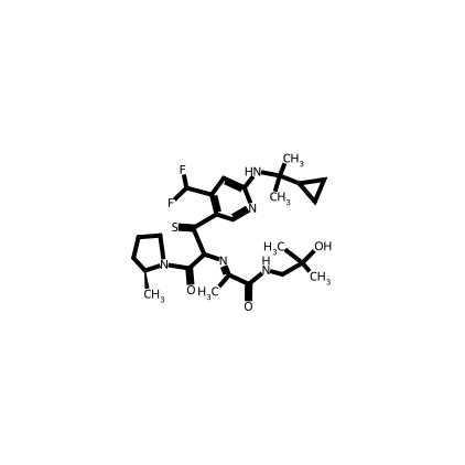 C/C(=N\C(C(=O)N1CCC[C@@H]1C)C(=S)c1cnc(NC(C)(C)C2CC2)cc1C(F)F)C(=O)NCC(C)(C)O